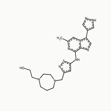 Cc1cn2c(-c3cn[nH]c3)cnc2c(Nc2cc(CN3CCCN(CCO)CC3)ns2)n1